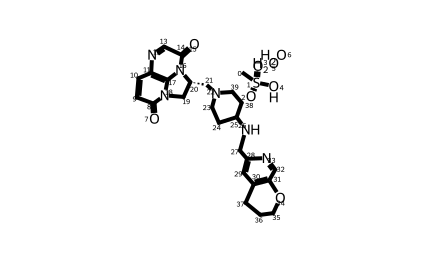 CS(=O)(=O)O.O.O.O=c1ccc2ncc(=O)n3c2n1C[C@H]3CN1CCC(NCc2cc3c(cn2)OCCC3)CC1